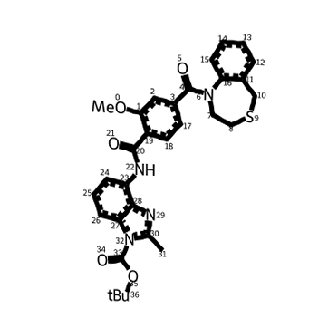 COc1cc(C(=O)N2CCSCc3ccccc32)ccc1C(=O)Nc1cccc2c1nc(C)n2C(=O)OC(C)(C)C